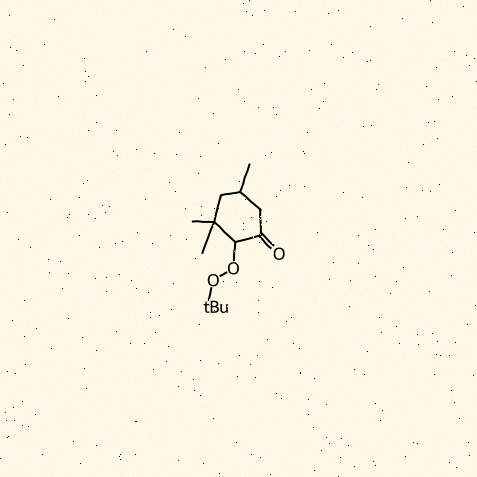 CC1CC(=O)C(OOC(C)(C)C)C(C)(C)C1